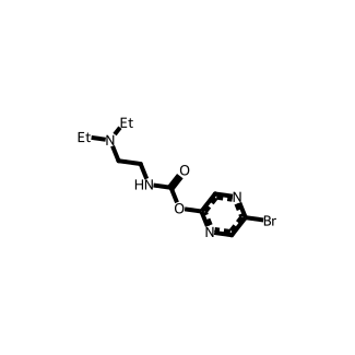 CCN(CC)CCNC(=O)Oc1cnc(Br)cn1